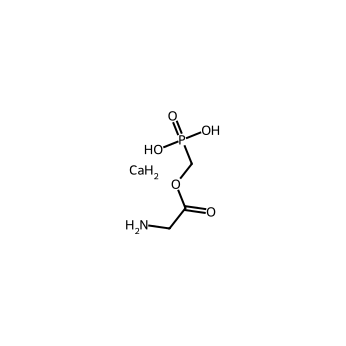 NCC(=O)OCP(=O)(O)O.[CaH2]